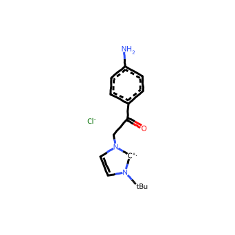 CC(C)(C)N1[C+]N(CC(=O)c2ccc(N)cc2)C=C1.[Cl-]